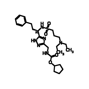 CCN(CC)CCCS(=O)(=O)N[C@H](CCc1ccccc1)c1nc(CNC(=O)OC2CCCC2)n[nH]1